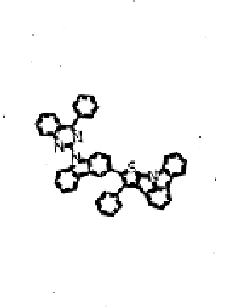 c1ccc(-c2nc(-n3c4ccccc4c4cc(-c5sc6c(c5-c5ccccc5)c5cccc7c8ccccc8n6c75)ccc43)nc3ccccc23)cc1